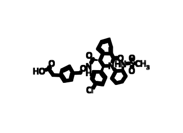 CS(=O)(=O)N[C@H]1CCCCC1N1C(=O)c2ccccc2[C@@H](C(=O)NOCc2ccc(CC(=O)O)cc2)[C@@H]1c1ccc(Cl)cc1